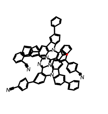 N#Cc1ccc(-c2ccc(-n3c4ccc(-c5ccccc5)cc4c4cc(-c5ccccc5)ccc43)c(-c3nc(-c4cccc(-c5ccccc5C#N)c4)nc(-c4cc(-c5ccc(C#N)cc5)ccc4-n4c5ccc(-c6ccccc6)cc5c5cc(-c6ccccc6)ccc54)n3)c2)cc1